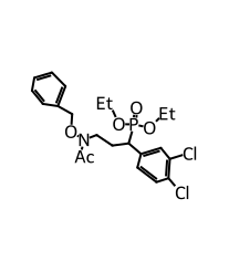 CCOP(=O)(OCC)C(CCN(OCc1ccccc1)C(C)=O)c1ccc(Cl)c(Cl)c1